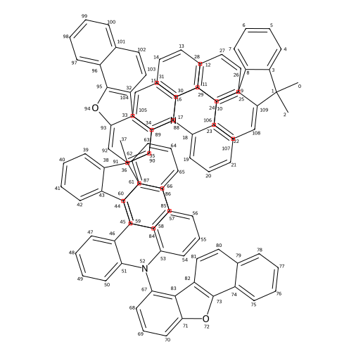 CC1(C)c2ccccc2-c2c(-c3ccccc3N(c3ccccc3-c3ccccc3-c3cccc(CC4(C)c5ccccc5-c5c(-c6ccccc6N(c6cccc7c6ccc6ccccc67)c6cccc7oc8c9ccccc9ccc8c67)cccc54)c3)c3cccc4oc5c6ccccc6ccc5c34)cccc21